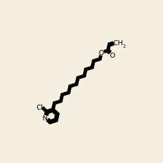 C=CC(=O)OCCCCCCCCCCCCc1cccnc1Cl